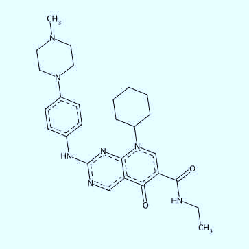 CCNC(=O)c1cn(C2CCCCC2)c2nc(Nc3ccc(N4CCN(C)CC4)cc3)ncc2c1=O